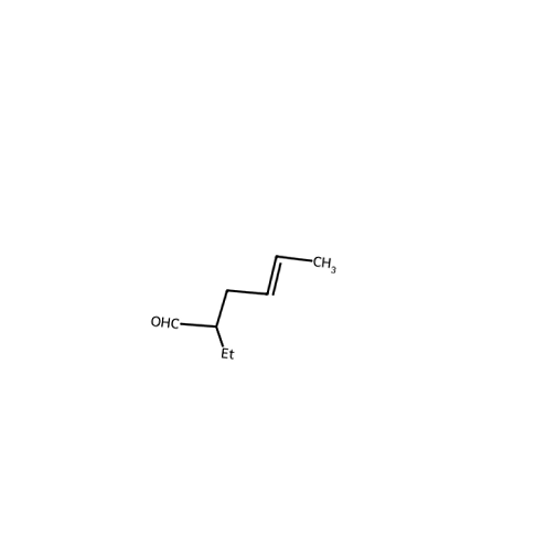 CC=CCC(C=O)CC